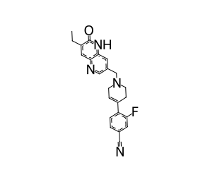 CCc1cc2ncc(CN3CC=C(c4ccc(C#N)cc4F)CC3)cc2[nH]c1=O